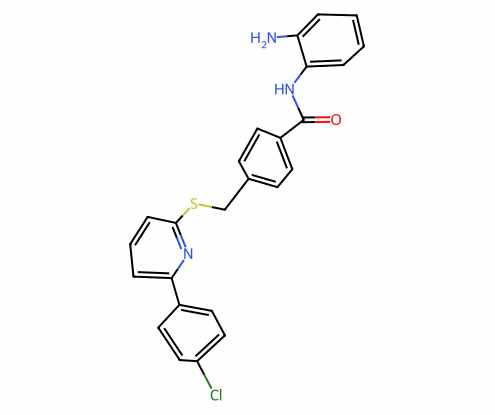 Nc1ccccc1NC(=O)c1ccc(CSc2cccc(-c3ccc(Cl)cc3)n2)cc1